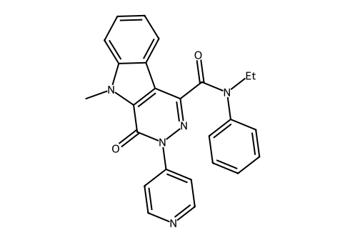 CCN(C(=O)c1nn(-c2ccncc2)c(=O)c2c1c1ccccc1n2C)c1ccccc1